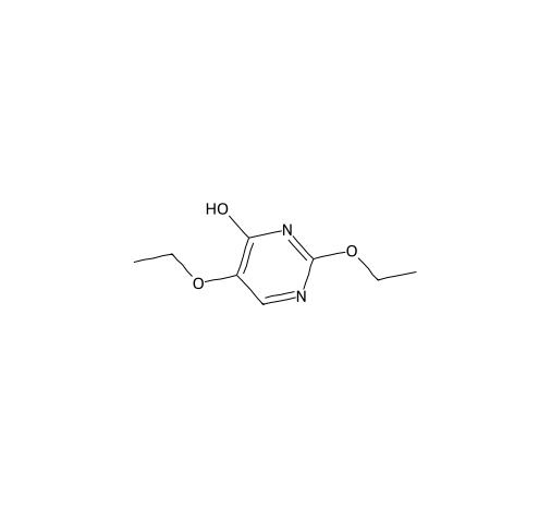 CCOc1ncc(OCC)c(O)n1